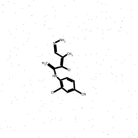 C=C(Nc1ccc(C#N)cc1Cl)/C(Cl)=C(C)\C=N/N